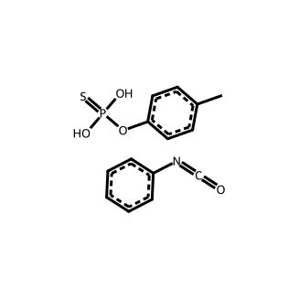 Cc1ccc(OP(O)(O)=S)cc1.O=C=Nc1ccccc1